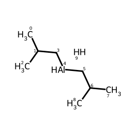 CC(C)[CH2][AlH][CH2]C(C)C.[HH]